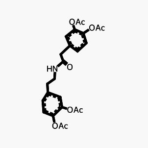 CC(=O)Oc1ccc(CCNC(=O)Cc2ccc(OC(C)=O)c(OC(C)=O)c2)cc1OC(C)=O